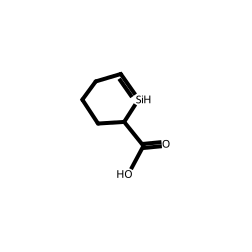 O=C(O)C1CCCC=[SiH]1